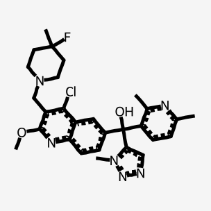 COc1nc2ccc(C(O)(c3ccc(C)nc3C)c3cnnn3C)cc2c(Cl)c1CN1CCC(C)(F)CC1